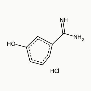 Cl.N=C(N)c1cccc(O)c1